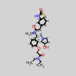 CCN(CC)C(=O)COc1cccc([C@@H](CN2CC[C@H](O)C2)N(C)C(=O)Cc2ccc3sc(=O)[nH]c3c2)c1